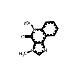 CCCCn1c(=O)c2c(ncn2C)c2ccccc21